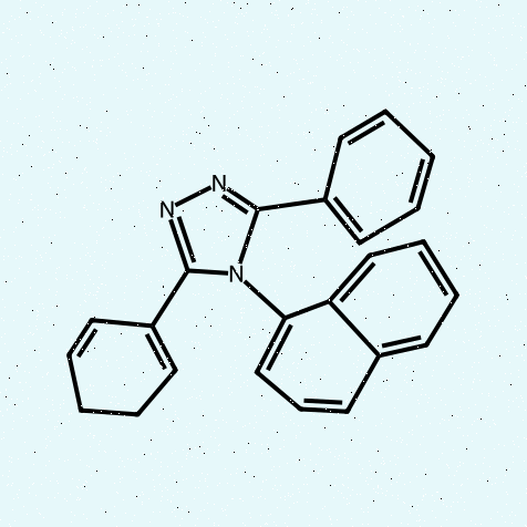 C1=CC(c2nnc(-c3ccccc3)n2-c2cccc3ccccc23)=CCC1